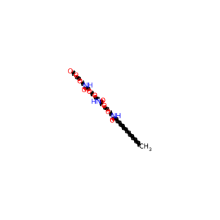 CCCCCCCCCCCCCCCCCC(=O)NCCOCCOCC(=O)NCCOCCOCC(=O)NCCOCCOC[C]=O